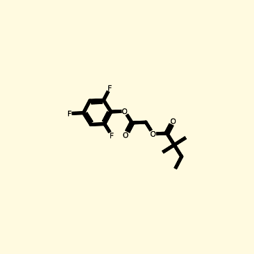 CCC(C)(C)C(=O)OCC(=O)Oc1c(F)cc(F)cc1F